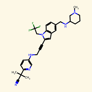 CN1CCCC(NCc2ccc3c(c2)cc(C#CCNc2ccc(C(C)(C)C#N)nc2)n3CC(F)(F)F)C1